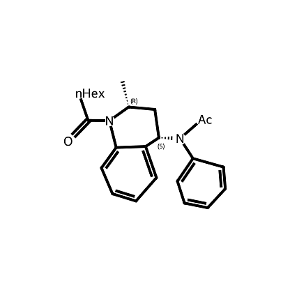 CCCCCCC(=O)N1c2ccccc2[C@@H](N(C(C)=O)c2ccccc2)C[C@H]1C